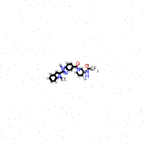 CCn1c(-c2nc3cc(C(=O)N4CC[C@@H](C)[C@@H](NC(=O)C(F)(F)F)C4)ccc3n2C)cc2ccccc21